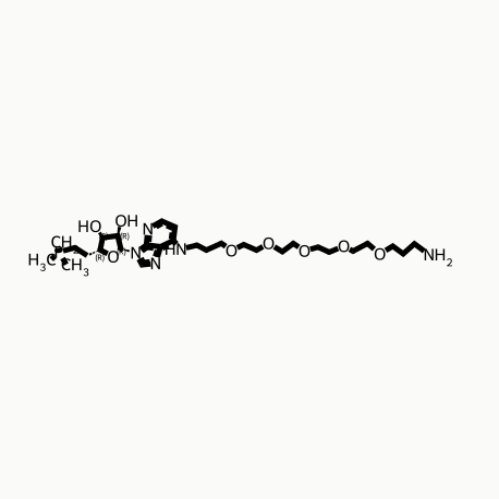 C=P(C)(C)CC[C@H]1O[C@@H](n2cnc3c(NCCCOCCOCCOCCOCCOCCCN)ccnc32)[C@H](O)[C@@H]1O